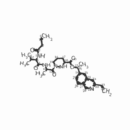 C=CCC(=O)NC(C(=O)NC(C)C(=O)N1CCCC(C(=O)O[C@H](C)c2ccc3cnc(C=C)cc3c2)N1)C(C)C